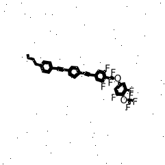 CCCCc1ccc(C#Cc2ccc(C#Cc3cc(F)c(C(F)(F)Oc4cc(F)c(OC(F)(F)F)c(F)c4)c(F)c3)cc2)cc1